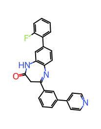 O=C1CC(c2cccc(-c3ccncc3)c2)=Nc2ccc(-c3ccccc3F)cc2N1